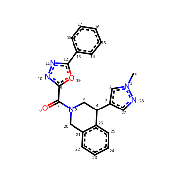 Cn1cc(C2CN(C(=O)c3nnc(-c4ccccc4)o3)Cc3ccccc32)cn1